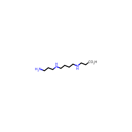 NCCCNCCCCNCCC(=O)O